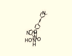 Cc1cc(C#Cc2ccc(Oc3ccncc3C3NC(=O)NC3O)cc2)ccn1